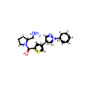 NCC1CCCN1C(=O)c1cc(-c2cnn(-c3ccccc3)c2)cs1